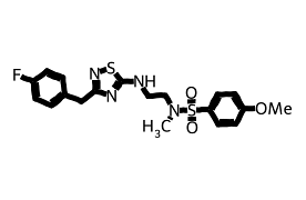 COc1ccc(S(=O)(=O)N(C)CCNc2nc(Cc3ccc(F)cc3)ns2)cc1